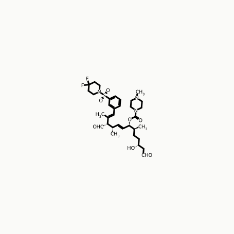 C/C(=C\c1cccc(S(=O)(=O)N2CCC(F)(F)CC2)c1)[C@@H](C=O)[C@@H](C)/C=C/[C@H](OC(=O)N1CCN(C)CC1)[C@@H](C)CC[C@@H](O)CC=O